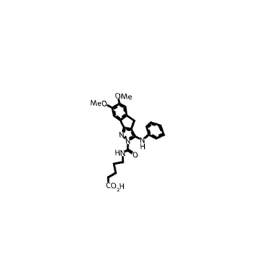 COc1cc2c(cc1OC)-c1nn(C(=O)NCCCCC(=O)O)c(Nc3ccccc3)c1C2